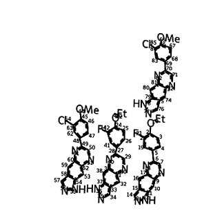 CCOc1ccc(-c2cnc3cc4[nH]ncc4cc3n2)cc1F.CCOc1ccc(-c2cnc3cc4cn[nH]c4cc3n2)cc1F.COc1ccc(-c2cnc3cc4[nH]ncc4cc3n2)cc1Cl.COc1ccc(-c2cnc3cc4cn[nH]c4cc3n2)cc1Cl